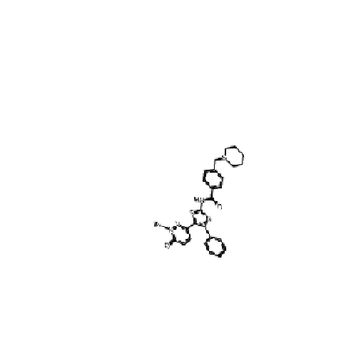 CC(C)n1nc(-c2sc(NC(=O)c3ccc(CN4CCCCC4)cc3)nc2-c2ccccc2)ccc1=O